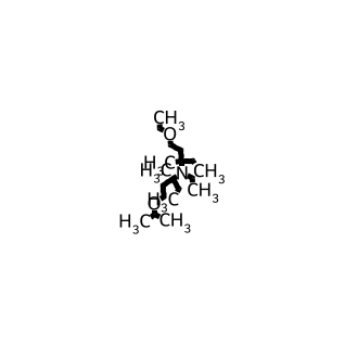 CCOCCC(C)(CC)N(CC)C(C)(CC)CCOC(C)C